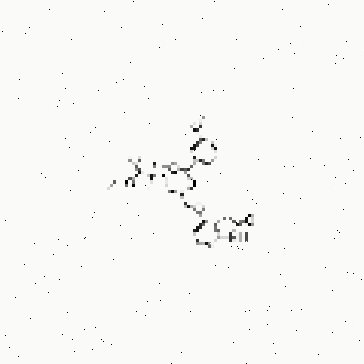 CCOC(=O)C(C)(C)NCC(COc1cccc2c1CC(=O)N2)OC(=O)c1cccc(OC)c1